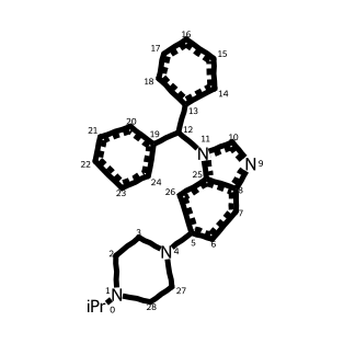 CC(C)N1CCN(c2ccc3ncn(C(c4ccccc4)c4ccccc4)c3c2)CC1